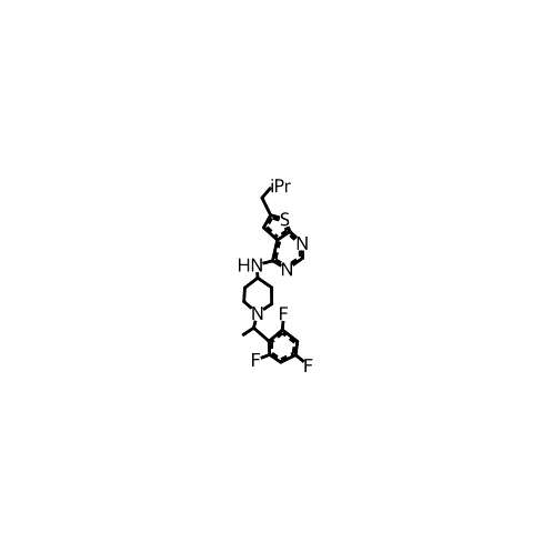 CC(C)Cc1cc2c(NC3CCN(C(C)c4c(F)cc(F)cc4F)CC3)ncnc2s1